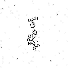 COC(=O)CCC(C(N)=O)N1Cc2ccc(C3=CCN(C(=O)O)CC3)cc2C1=O